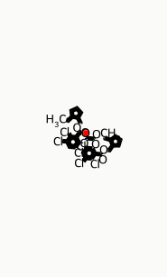 CCC1CCCC1COC(=O)c1c(Cl)c(Cl)cc(Cl)c1OC(=O)C(=O)Oc1c(Cl)cc(Cl)c(Cl)c1C(=O)OCC1CCCC1CC